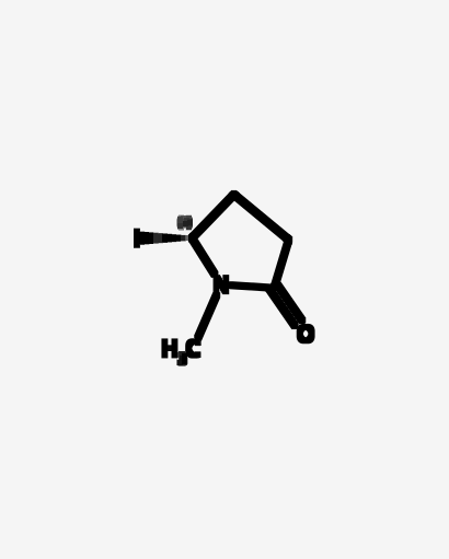 CN1C(=O)CC[C@H]1I